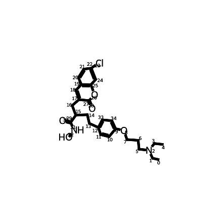 CCN(CC)CCCOc1ccc(CCC(Cc2cc3ccc(Cl)cc3oc2=O)C(=O)NO)cc1